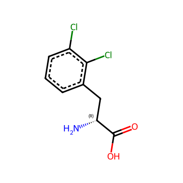 N[C@H](Cc1cccc(Cl)c1Cl)C(=O)O